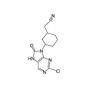 N#CCC1CCCC(n2c(=O)[nH]c3cnc(Cl)nc32)C1